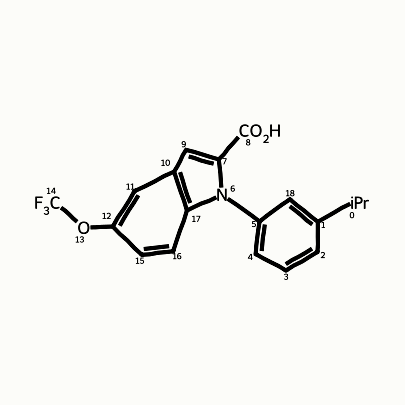 CC(C)c1cccc(-n2c(C(=O)O)cc3cc(OC(F)(F)F)ccc32)c1